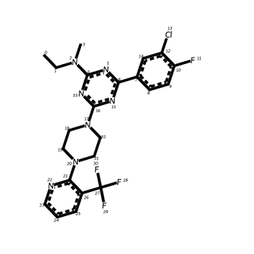 CCN(C)c1nc(-c2ccc(F)c(Cl)c2)nc(N2CCN(c3ncccc3C(F)(F)F)CC2)n1